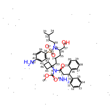 COC(=O)N(C(=O)[C@@H](N)C(c1ccccc1)c1ccccc1)C1(CCCC(CO)N(CCC(C)C)S(=O)(=O)c2ccc(N)cc2)CCC1